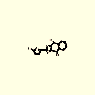 OC1c2ccccc2C(O)c2sc(-c3ccc(Br)o3)nc21